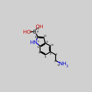 NCCc1ccc2[nH]c(B(O)O)cc2c1